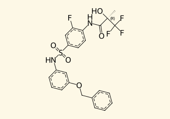 C[C@@](O)(C(=O)Nc1ccc(S(=O)(=O)Nc2cccc(OCc3ccccc3)c2)cc1F)C(F)(F)F